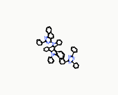 c1ccc(-c2nc(-c3ccccc3)nc(-c3cccc4c3ccc3c5c6c7ccccc7n(-c7nc(-c8ccccc8)nc8c7ccc7ccccc78)c6c6ccccc6c5n(-c5ccccc5)c43)n2)cc1